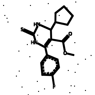 COC(=O)C1=C(c2ccc(F)cc2)NC(=S)NC1C1CCCC1